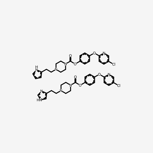 O=C(Oc1ccc(Oc2ccc(Cl)cn2)cc1)N1CCN(CCc2c[nH]cn2)CC1.O=C(Oc1ccc(Oc2ccc(Cl)cn2)cc1)N1CCN(CCc2ccc[nH]2)CC1